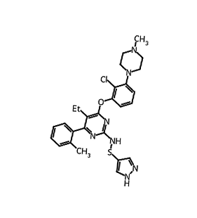 CCc1c(Oc2cccc(N3CCN(C)CC3)c2Cl)nc(NSc2cn[nH]c2)nc1-c1ccccc1C